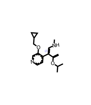 C=C(OC(C)C)/C(=C\NC)c1ccncc1OCC1CC1